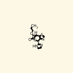 C=CCON1C(=O)N2C[C@H]1c1scnc1[C@H]2c1ncc[nH]1